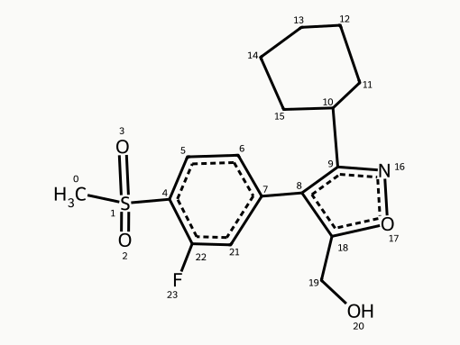 CS(=O)(=O)c1ccc(-c2c(C3CCCCC3)noc2CO)cc1F